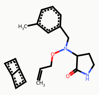 C=CCON(Cc1cccc(C)c1)C1CCNC1=O.c1cc2ccc1-2